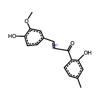 COc1cc(/C=C/C(=O)c2ccc(C)cc2O)ccc1O